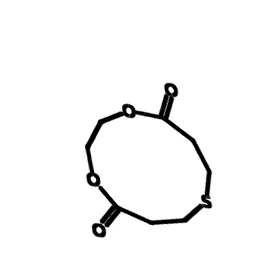 O=C1CCSCCC(=O)OCCO1